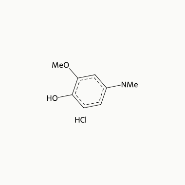 CNc1ccc(O)c(OC)c1.Cl